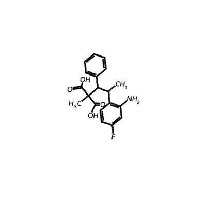 CC(c1ccc(F)cc1N)C(c1ccccc1)C(C)(C(=O)O)C(=O)O